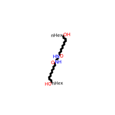 CCCCCCC(O)C/C=C\CCCCCCCC(=O)NCCNC(=O)CCCCCCC/C=C\CC(O)CCCCCC